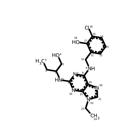 CCC(CO)Nc1nc(NCc2cccc(Cl)c2O)c2ncn(CC)c2n1